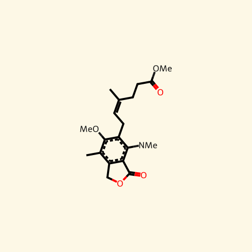 CNc1c(CC=C(C)CCC(=O)OC)c(OC)c(C)c2c1C(=O)OC2